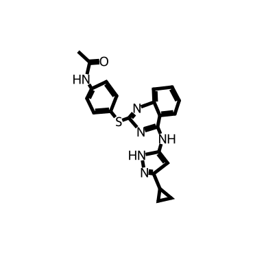 CC(=O)Nc1ccc(Sc2nc(Nc3cc(C4CC4)n[nH]3)c3ccccc3n2)cc1